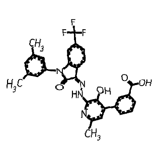 Cc1cc(C)cc(N2C(=O)/C(=N\Nc3nc(C)cc(-c4cccc(C(=O)O)c4)c3O)c3ccc(C(F)(F)F)cc32)c1